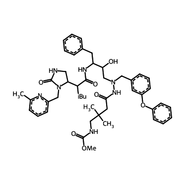 CCC(C)C(C(=O)NC(Cc1ccccc1)C(O)CN(Cc1cccc(Oc2ccccc2)c1)NC(=O)CC(C)(C)CNC(=O)OC)C1CNC(=O)N1Cc1cccc(C)n1